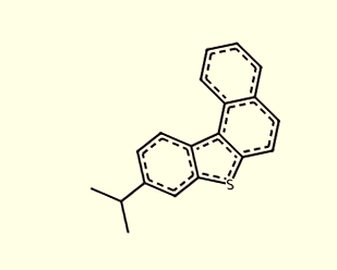 CC(C)c1ccc2c(c1)sc1ccc3ccccc3c12